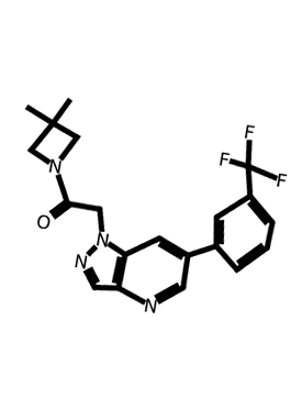 CC1(C)CN(C(=O)Cn2ncc3ncc(-c4cccc(C(F)(F)F)c4)cc32)C1